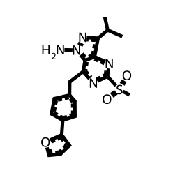 CC(C)c1nn(N)c2c(Cc3ccc(-c4ccco4)cc3)nc(S(C)(=O)=O)nc12